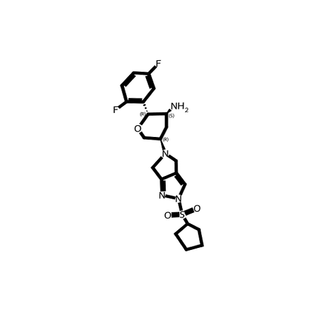 N[C@H]1C[C@@H](N2Cc3cn(S(=O)(=O)C4CCCC4)nc3C2)CO[C@@H]1c1cc(F)ccc1F